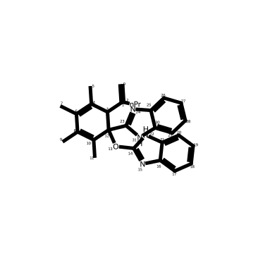 C=C(CCC)C1C(C)=C(C)C(C)=C(C)C1(Oc1nc2ccccc2[nH]1)c1nc2ccccc2[nH]1